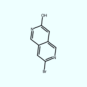 Oc1cc2cnc(Br)cc2cn1